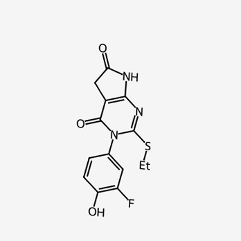 CCSc1nc2c(c(=O)n1-c1ccc(O)c(F)c1)CC(=O)N2